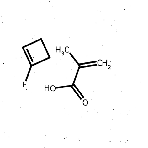 C=C(C)C(=O)O.FC1=CCC1